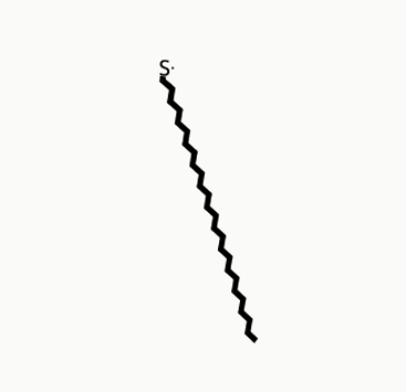 CCCCCCCCCCCCCCCCCCCCCCCCCC[S]